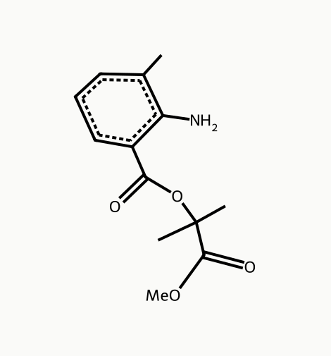 COC(=O)C(C)(C)OC(=O)c1cccc(C)c1N